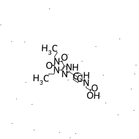 CCCn1c(=O)c2[nH]c(C34CCC(NCC(=O)O)(CC3)CC4)nc2n(CCC)c1=O